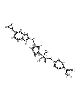 N=C(N)c1ccc(CNS(=O)(=O)c2cnn(Cc3cn4cc(C5CC5)ccc4n3)c2)cc1